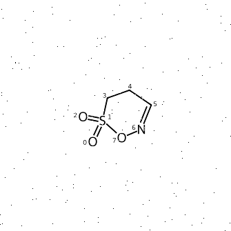 O=S1(=O)CCC=NO1